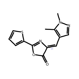 Cc1c(/C=C2\N=C(c3cccs3)OC2=O)cnn1C